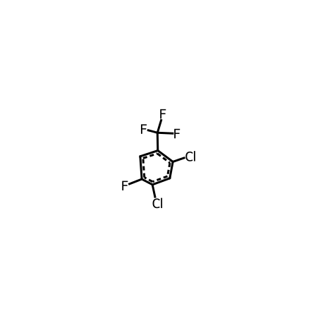 Fc1cc(C(F)(F)F)c(Cl)cc1Cl